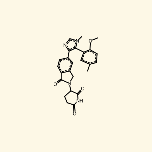 COc1ccc(C)cc1-c1c(-c2ccc3c(c2)CN(C2CCC(=O)NC2=O)C3=O)ncn1C